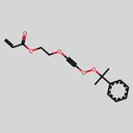 C=CC(=O)OCCOC#COOC(C)(C)c1ccccc1